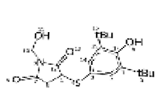 CC(C)(C)c1cc(SC2CC(=O)N(CO)C2=O)cc(C(C)(C)C)c1O